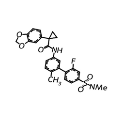 CNS(=O)(=O)c1ccc(-c2cc(NC(=O)C3(c4ccc5c(c4)OCO5)CC3)ccc2C)c(F)c1